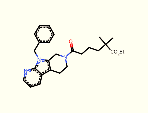 CCOC(=O)C(C)(C)CCCC(=O)N1CCc2c(n(Cc3ccccc3)c3ncccc23)C1